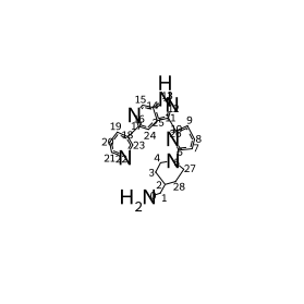 NCC1CCN(c2cccc(-c3n[nH]c4cnc(-c5cccnc5)cc34)n2)CC1